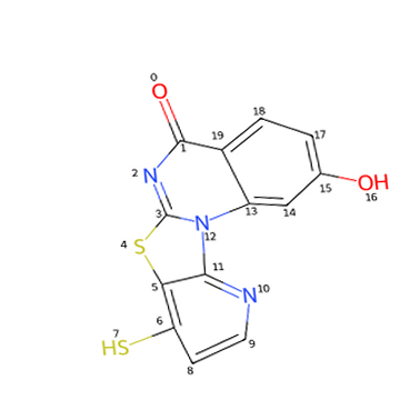 O=c1nc2sc3c(S)ccnc3n2c2cc(O)ccc12